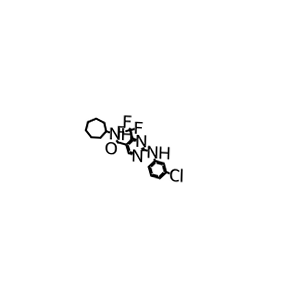 O=C(NC1CCCCCC1)c1cnc(Nc2cccc(Cl)c2)nc1C(F)(F)F